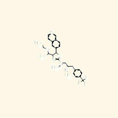 CCOC(C)C1N=C(N(C)C[C@@H](N)Cc2ccc(C(F)(F)F)cc2)SC1c1ccc2cnccc2c1